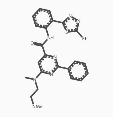 CCc1nnc(-c2ccccc2NC(=O)c2cc(N(C)CCNC)nc(-c3ccccc3)n2)s1